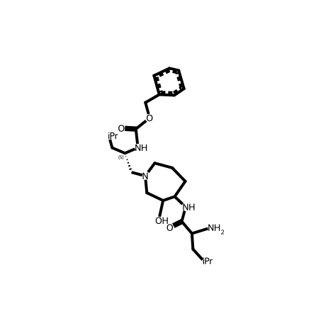 CC(C)CC(N)C(=O)NC1CCCN(C[C@H](CC(C)C)NC(=O)OCc2ccccc2)CC1O